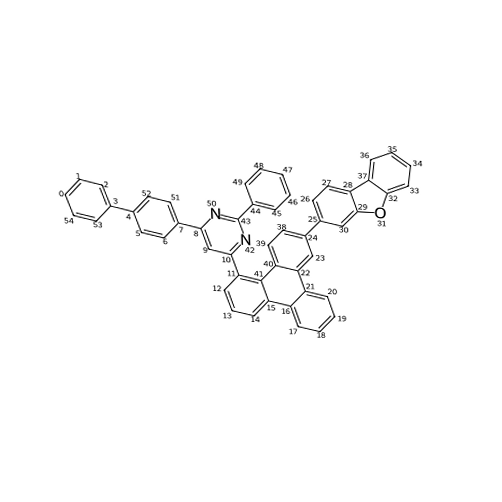 c1ccc(-c2ccc(-c3cc(-c4cccc5c6ccccc6c6cc(-c7ccc8c(c7)oc7ccccc78)ccc6c45)nc(-c4ccccc4)n3)cc2)cc1